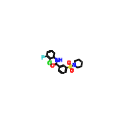 O=C(Nc1cccc(F)c1Cl)c1cccc(S(=O)(=O)N2CCCCC2)c1